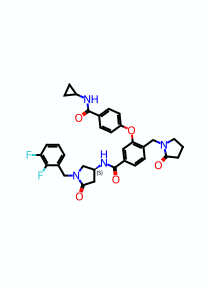 O=C(NC1CC1)c1ccc(Oc2cc(C(=O)N[C@H]3CC(=O)N(Cc4cccc(F)c4F)C3)ccc2CN2CCCC2=O)cc1